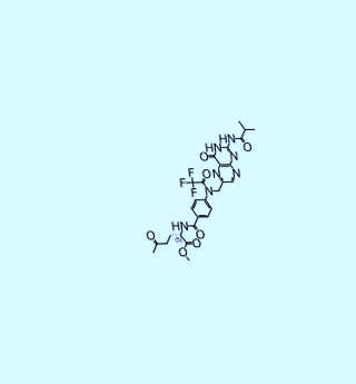 COC(=O)[C@H](CCC(C)=O)NC(=O)c1ccc(N(Cc2cnc3nc(NC(=O)C(C)C)[nH]c(=O)c3n2)C(=O)C(F)(F)F)cc1